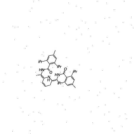 CC(NC(=O)c1c(C(C)C)cc(C)cc1C(C)C)=C1C=CCC(=C(C)NC(=O)c2c(C(C)C)cc(C)cc2C(C)C)N1